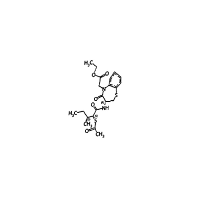 CCOC(=O)CN1C(=O)[C@@H](NC(=O)[C@@H](SC(C)=O)[C@@H](C)CC)CSc2ccccc21